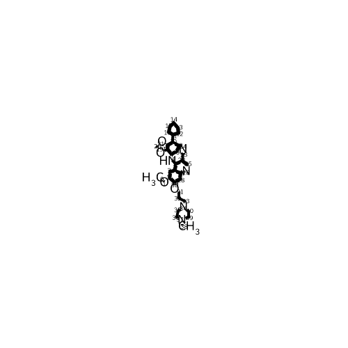 COc1cc2c(Nc3ccc(-c4ccccc4)c4c3OCO4)c(C#N)cnc2cc1OCCCN1CCN(C)CC1